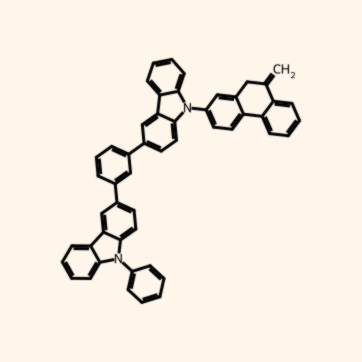 C=C1Cc2cc(-n3c4ccccc4c4cc(-c5cccc(-c6ccc7c(c6)c6ccccc6n7-c6ccccc6)c5)ccc43)ccc2-c2ccccc21